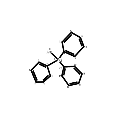 S[PH](c1ccccc1)(c1ccccc1)c1ccccc1